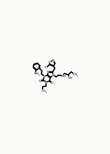 CCCn1c(=O)c2c(nc(Cc3cnoc3Cl)n2CCNCC(O)CC)n(CCc2ccccc2N)c1=O